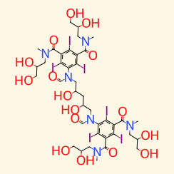 CN(CC(O)CO)C(=O)c1c(I)c(C(=O)N(C)CC(O)CO)c(I)c(N(C=O)CC(O)CC(O)CN(C=O)c2c(I)c(C(=O)N(C)CC(O)CO)c(I)c(C(=O)N(C)CC(O)CO)c2I)c1I